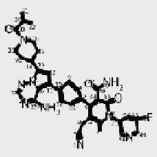 Cc1c(CC#N)c(-c2ccc(-c3cc(C4CCN(C(=O)C(C)C)CC4)n4ncnc(N)c34)cc2)c(C(N)=O)c(=O)n1-c1cncc(F)c1